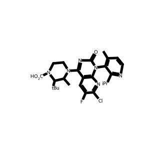 Cc1ccnc(C(C)C)c1-n1c(=O)nc(N2CCN(C(=O)O)C(C(C)(C)C)C2C)c2cc(F)c(Cl)nc21